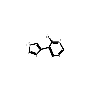 CCc1ncccc1-c1cc[nH]c1